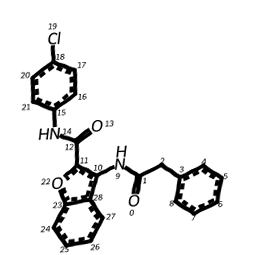 O=C(Cc1ccccc1)Nc1c(C(=O)Nc2ccc(Cl)cc2)oc2ccccc12